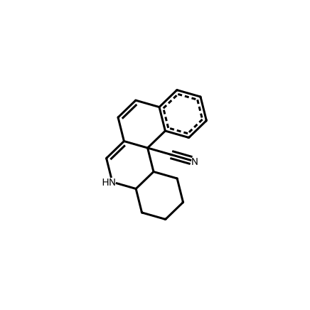 N#CC12C(=CNC3CCCCC31)C=Cc1ccccc12